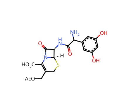 CC(=O)OCC1=C(C(=O)O)N2C(=O)[C@@H](NC(=O)C(N)c3cc(O)cc(O)c3)[C@H]2SC1